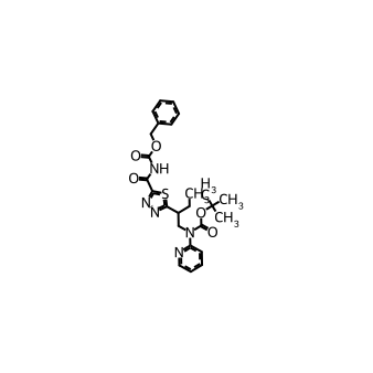 CCC(CN(C(=O)OC(C)(C)C)c1ccccn1)c1nnc(C(=O)NC(=O)OCc2ccccc2)s1